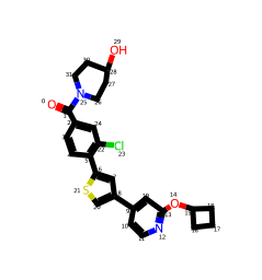 O=C(c1ccc(-c2cc(-c3ccnc(OC4CCC4)c3)cs2)c(Cl)c1)N1CCC(O)CC1